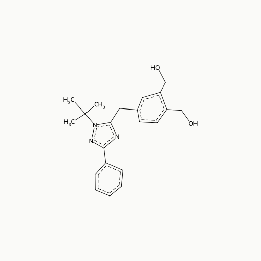 CC(C)(C)n1nc(-c2ccccc2)nc1Cc1ccc(CO)c(CO)c1